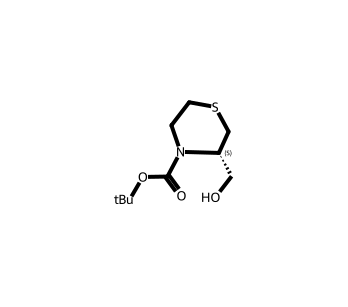 CC(C)(C)OC(=O)N1CCSC[C@@H]1CO